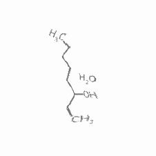 CCCCCC(O)CC.O